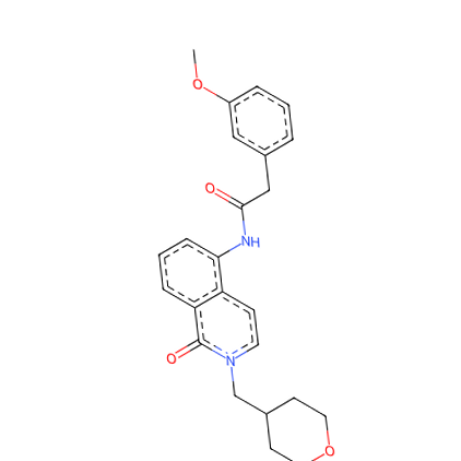 COc1cccc(CC(=O)Nc2cccc3c(=O)n(CC4CCOCC4)ccc23)c1